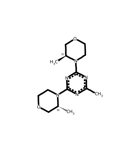 Cc1nc(N2CCOC[C@H]2C)nc(N2CCOC[C@@H]2C)n1